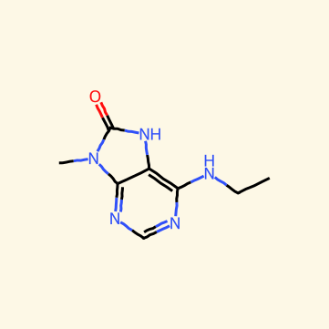 CCNc1ncnc2c1[nH]c(=O)n2C